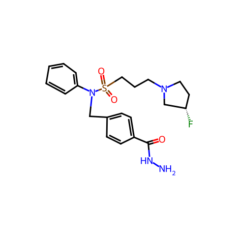 NNC(=O)c1ccc(CN(c2ccccc2)S(=O)(=O)CCCN2CC[C@H](F)C2)cc1